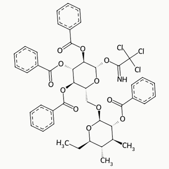 CC[C@H]1O[C@@H](OC[C@H]2O[C@@H](OC(=N)C(Cl)(Cl)Cl)[C@H](OC(=O)c3ccccc3)[C@@H](OC(=O)c3ccccc3)[C@@H]2OC(=O)c2ccccc2)[C@H](OC(=O)c2ccccc2)[C@@H](C)[C@@H]1C